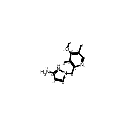 COc1c(C)cnc(Cn2ccc(N)n2)c1C